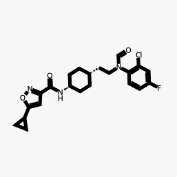 O=CN(CC[C@H]1CC[C@@H](NC(=O)c2cc(C3CC3)on2)CC1)c1ccc(F)cc1Cl